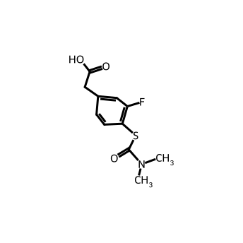 CN(C)C(=O)Sc1ccc(CC(=O)O)cc1F